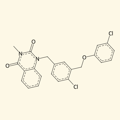 Cn1c(=O)c2ccccc2n(Cc2ccc(Cl)c(COc3cccc(Cl)c3)c2)c1=O